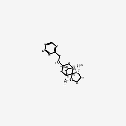 c1ccc(CO[C@@H]2C[C@H]3CC[C@@H](C2)C32OCCO2)cc1